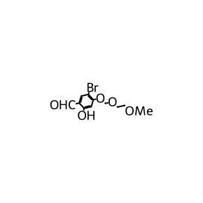 COCCOCOc1cc(O)c(C=O)cc1Br